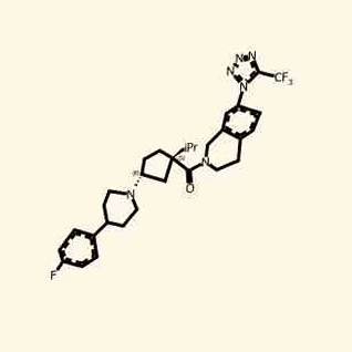 CC(C)[C@]1(C(=O)N2CCc3ccc(-n4nnnc4C(F)(F)F)cc3C2)CC[C@@H](N2CCC(c3ccc(F)cc3)CC2)C1